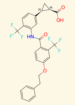 O=C(Nc1cc([C@H]2C[C@H]2C(=O)O)ccc1C(F)(F)F)c1ccc(OCCc2ccccc2)cc1C(F)(F)F